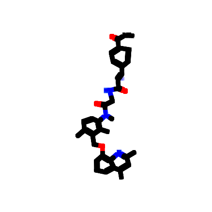 CNC(=O)c1ccc(/C=C/C(=O)NCC(=O)N(C)c2ccc(C)c(COc3cccc4c(C)cc(C)nc34)c2C)cc1